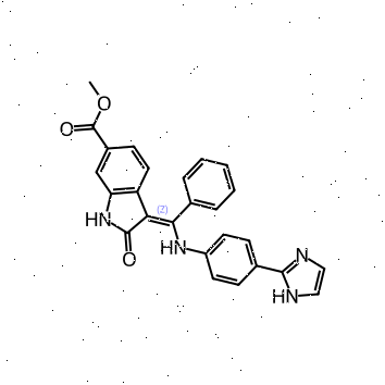 COC(=O)c1ccc2c(c1)NC(=O)/C2=C(\Nc1ccc(-c2ncc[nH]2)cc1)c1ccccc1